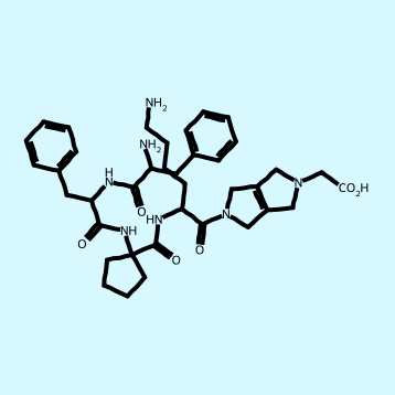 NCCCCC(NC(=O)C1(NC(=O)C(Cc2ccccc2)NC(=O)C(N)Cc2ccccc2)CCCC1)C(=O)N1CC2=C(CN(CC(=O)O)C2)C1